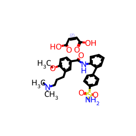 COc1ccc(C(=O)Nc2ccccc2-c2ccc(S(N)(=O)=O)cc2)cc1CCCN(C)C.O=C(O)/C=C\C(=O)O